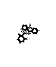 CC1=C(C(=O)NC(c2ccccc2)C2(N(C)C)CCCC2)C(Cl)CC=C1